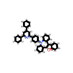 c1ccc(-c2cc(-c3ccccc3)nc(-c3ccc(N4c5ccccc5-c5oc6ccccc6c5-c5ccccc54)cc3)c2)cc1